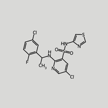 CC(Nc1ncc(Cl)cc1S(=O)(=O)Nc1cscn1)c1cc(Cl)ccc1F